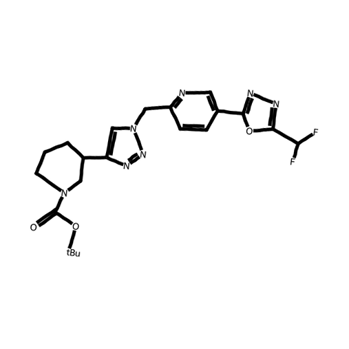 CC(C)(C)OC(=O)N1CCCC(c2cn(Cc3ccc(-c4nnc(C(F)F)o4)cn3)nn2)C1